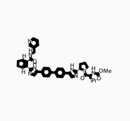 COC(=O)NC(C(=O)N1CCC[C@H]1c1ncc(-c2ccc(-c3ccc(-c4cnc([C@@H]5[C@H]6CC[C@H](C6)[C@H]5C(=O)NCc5cccnc5)[nH]4)cc3)cc2)[nH]1)C(C)C